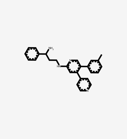 Cc1cccc(-c2cnc(NCCC(N)c3ccccc3)cc2-c2ccncc2)c1